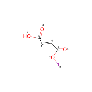 O=C(O)C=CC(=O)OI